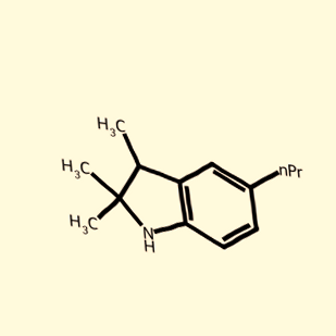 CCCc1ccc2c(c1)C(C)C(C)(C)N2